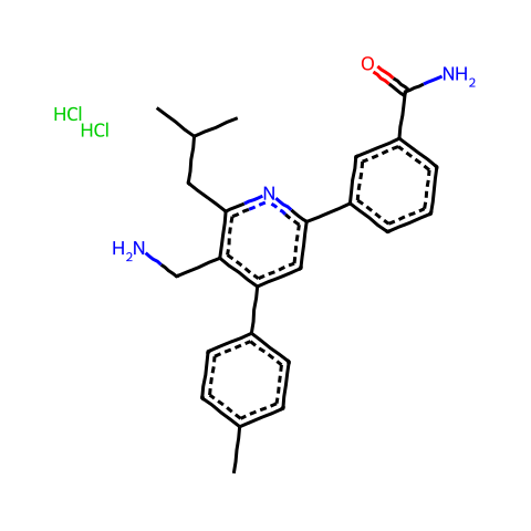 Cc1ccc(-c2cc(-c3cccc(C(N)=O)c3)nc(CC(C)C)c2CN)cc1.Cl.Cl